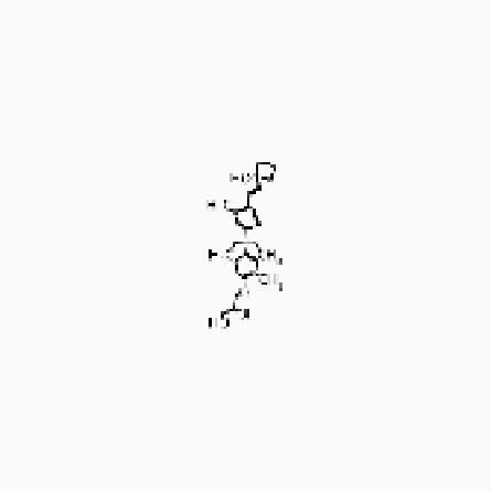 CCC(CC)(c1ccc(C=CC2(O)CCCC2)c(C)c1)c1ccc(OC[C@@H](O)CO)c(C)c1